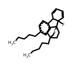 CCCCCc1ccc(C2C=CC=CC2(F)C23CCC(CCCCC)(CC2)CC3)cc1